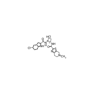 CN1CCc2nc(C(=O)N[C@H]3CC[C@H]3NC(=O)c3cc4cc(Cl)ccc4[nH]3)sc2C1.Cl